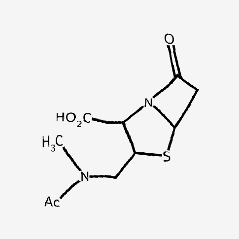 CC(=O)N(C)CC1SC2CC(=O)N2C1C(=O)O